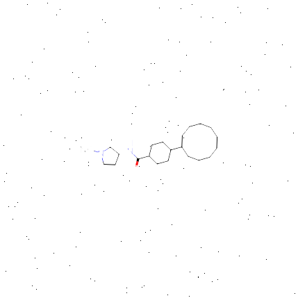 N#CN1CC[C@@H](NC(=O)C2CCC(C3CCCCCCCCC3)CC2)C1